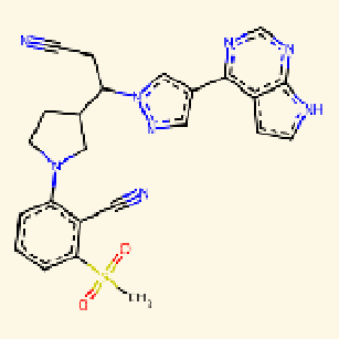 CS(=O)(=O)c1cccc(N2CCC(C(CC#N)n3cc(-c4ncnc5[nH]ccc45)cn3)C2)c1C#N